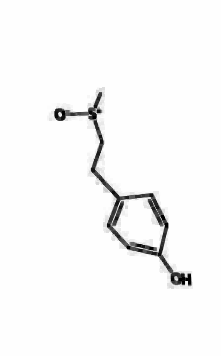 C[S+]([O-])CCc1ccc(O)cc1